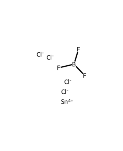 FB(F)F.[Cl-].[Cl-].[Cl-].[Cl-].[Sn+4]